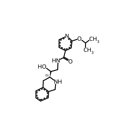 CC(C)Oc1cc(C(=O)NCC(O)[C@@H]2Cc3ccccc3CN2)ccn1